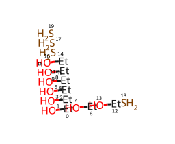 CCO.CCO.CCO.CCO.CCO.CCO.CCO.CCO.S.S.S.S